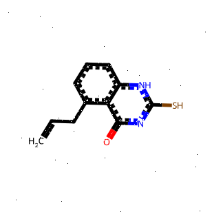 C=CCc1cccc2[nH]c(S)nc(=O)c12